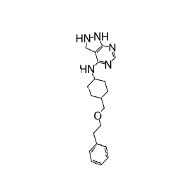 c1ccc(CCOCC2CCC(Nc3ncnc4c3CNN4)CC2)cc1